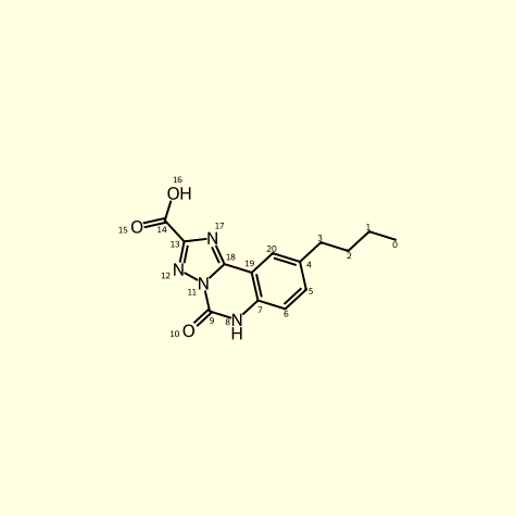 CCCCc1ccc2[nH]c(=O)n3nc(C(=O)O)nc3c2c1